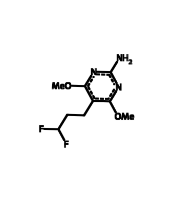 COc1nc(N)nc(OC)c1CCC(F)F